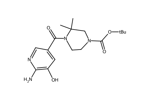 CC(C)(C)OC(=O)N1CCN(C(=O)c2cnc(N)c(O)c2)C(C)(C)C1